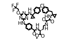 COC(=O)[C@H](CCNC(=O)C(=O)NC1(Cc2ccccc2)CC1)NC(=O)c1ccc(Nc2nc(NC3(c4ccc(Cl)cc4)CC3)nc(OCC(F)(F)F)n2)cc1